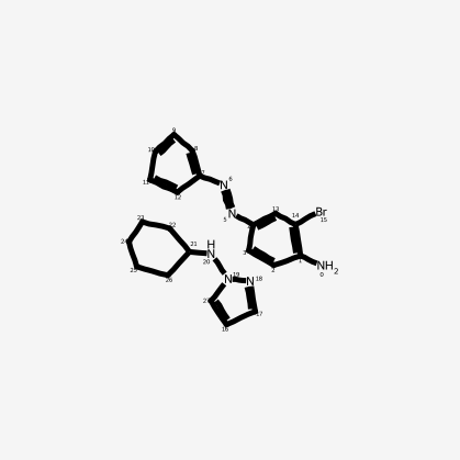 Nc1ccc(/N=N/c2ccccc2)cc1Br.c1cnn(NC2CCCCC2)c1